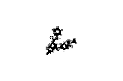 Cn1cc2c(Oc3ccc(S(=O)(=O)C4CC4)cc3)cc(C(=O)Nc3ccccn3)cc2n1